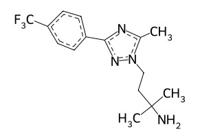 Cc1nc(-c2ccc(C(F)(F)F)cc2)nn1CCC(C)(C)N